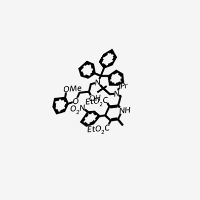 CCOC(=O)C1=C(C)NC(CN(CC(C)(C)N(CC(O)COc2ccccc2OC)C(c2ccccc2)(c2ccccc2)c2ccccc2)C(C)C)=C(C(=O)OCC)C1c1cccc([N+](=O)[O-])c1